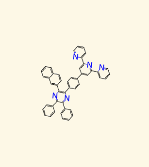 c1ccc(-c2nc(-c3ccc(-c4cc(-c5ccccn5)nc(-c5ccccn5)c4)cc3)c(-c3ccc4ccccc4c3)nc2-c2ccccc2)cc1